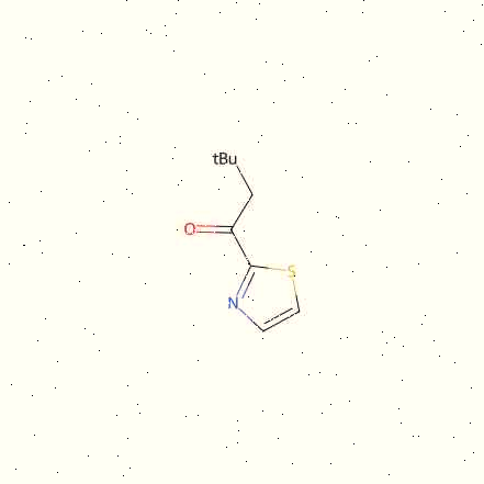 CC(C)(C)CC(=O)c1nccs1